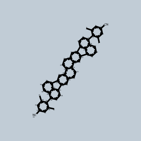 Cc1cc(C#N)cc(C)c1-c1ccc2c3c(cccc13)-c1cc3c(ccc4c5cc6c(cc5ccc34)-c3ccc(-c4c(C)cc(C#N)cc4C)c4cccc-6c34)cc1-2